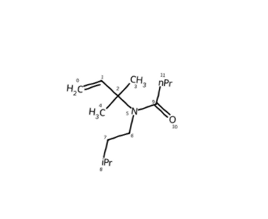 C=CC(C)(C)N(CCC(C)C)C(=O)CCC